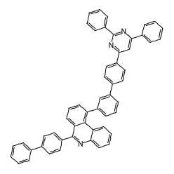 c1ccc(-c2ccc(-c3nc4ccccc4c4c(-c5cccc(-c6ccc(-c7cc(-c8ccccc8)nc(-c8ccccc8)n7)cc6)c5)cccc34)cc2)cc1